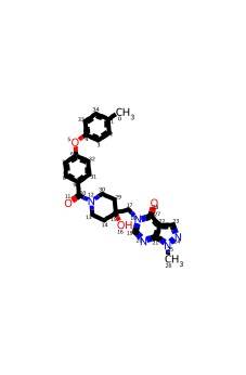 Cc1ccc(Oc2ccc(C(=O)N3CCC(O)(Cn4cnc5c(cnn5C)c4=O)CC3)cc2)cc1